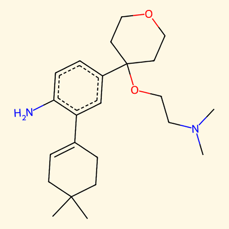 CN(C)CCOC1(c2ccc(N)c(C3=CCC(C)(C)CC3)c2)CCOCC1